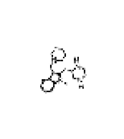 Cn1c(CC2CNCCN2)c(CN2CCCCC2)c2ccccc21